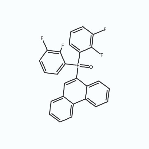 O=P(c1cccc(F)c1F)(c1cccc(F)c1F)c1cc2ccccc2c2ccccc12